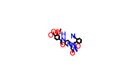 CCOc1cc(C(C=O)NC2CCN(C3CC(=O)N(C)C(=O)N3Cc3ccccc3C#N)CC2)ccc1C(=O)O